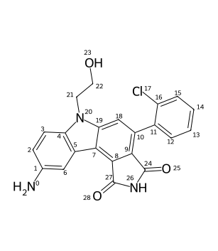 Nc1ccc2c(c1)c1c3c(c(-c4ccccc4Cl)cc1n2CCO)C(=O)NC3=O